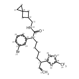 C=CC(CCCCN(C(=O)NCC1CC2(CC2)C1)c1cccc(Br)c1)c1noc(C(F)(F)F)n1